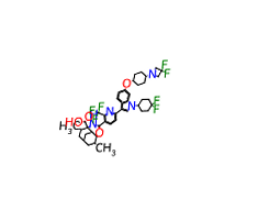 CC1CC2CC(C)C(NC(=O)c3ccc(-c4cn(C5CCC(F)(F)CC5)c5cc(O[C@H]6CC[C@@H](N7CC(F)(F)C7)CC6)ccc45)nc3C(F)(F)F)(C(=O)O)C(C1)C2